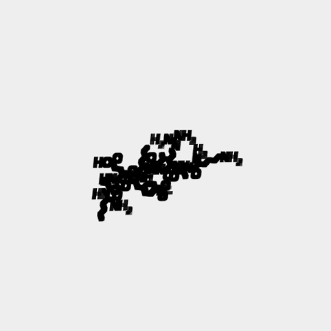 CCCCC(NC(=O)C(C)NC(=O)C(CCC(=O)O)NC(=O)C(Cc1ccc([N+](=O)[O-])cc1)NC(=O)C(CCCC)NC(=O)C(NC(=O)C(CCCN=C(N)N)NC(=O)C(C)NC(=O)C(N)CCCCN)C(C)C)C(N)=O